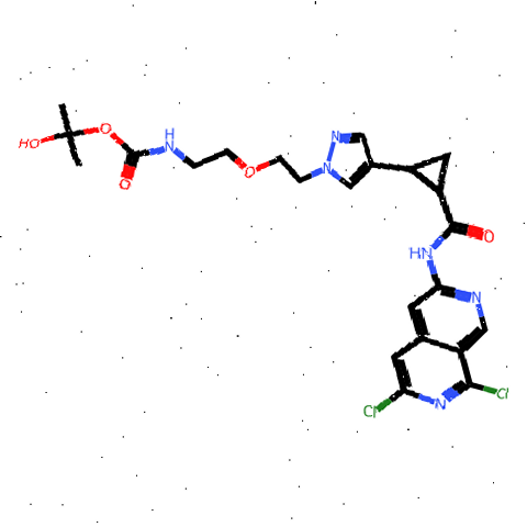 CC(C)(O)OC(=O)NCCOCCn1cc(C2CC2C(=O)Nc2cc3cc(Cl)nc(Cl)c3cn2)cn1